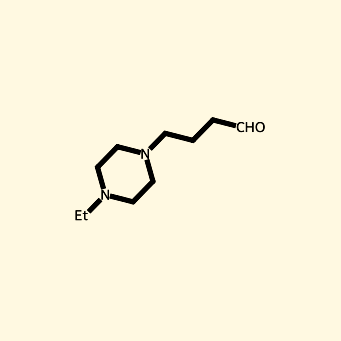 CCN1CCN(CCCC=O)CC1